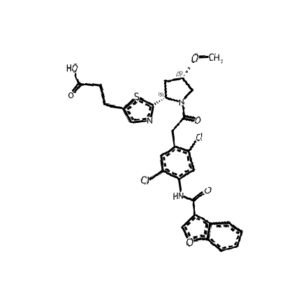 CO[C@H]1C[C@@H](c2ncc(CCC(=O)O)s2)N(C(=O)Cc2cc(Cl)c(NC(=O)c3coc4ccccc34)cc2Cl)C1